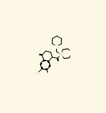 Cl.O=C1CCC(C(=O)[N+]2(CN3CCCCC3)CCSCC2)c2cc(Cl)c(Cl)cc21